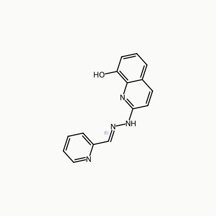 Oc1cccc2ccc(N/N=C/c3ccccn3)nc12